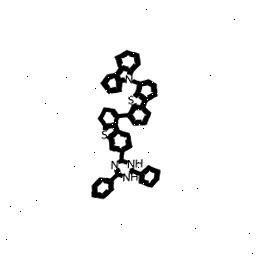 C1=C(c2cccc3c2sc2c(-n4c5ccccc5c5ccccc54)cccc23)c2c(sc3cc(C4N=C(c5ccccc5)NC(c5ccccc5)N4)ccc23)CC1